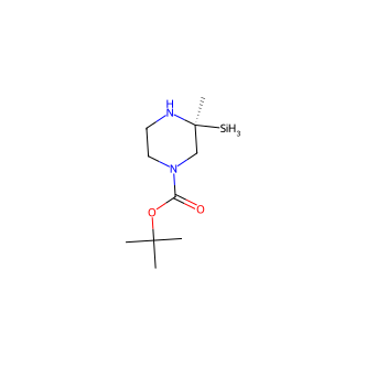 CC(C)(C)OC(=O)N1CCN[C@@](C)([SiH3])C1